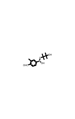 Cc1cc(B(O)OC(C)(C)C(C)(C)O)ccc1C=O